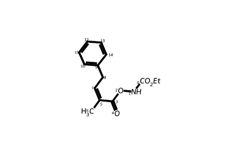 CCOC(=O)NOC(=O)C(C)=CCc1ccccc1